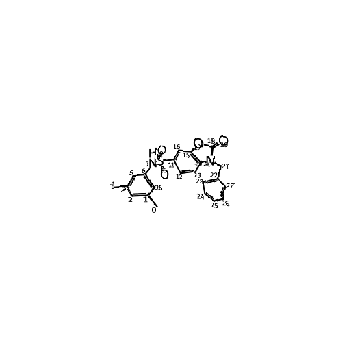 Cc1cc(C)cc(NS(=O)(=O)c2ccc3c(c2)oc(=O)n3Cc2ccccc2)c1